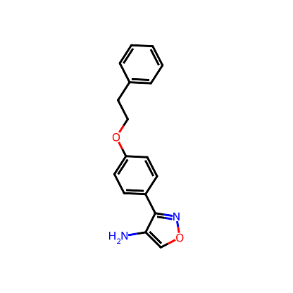 Nc1conc1-c1ccc(OCCc2ccccc2)cc1